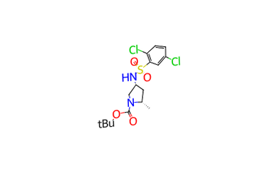 C[C@H]1C[C@@H](NS(=O)(=O)c2cc(Cl)ccc2Cl)CN1C(=O)OC(C)(C)C